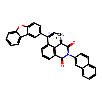 C=C1C(=O)N(c2ccc3ccccc3c2)C(=O)c2cccc(/C(=C\C)c3ccc4oc5ccccc5c4c3)c21